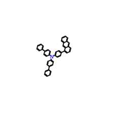 c1ccc(-c2ccc(N(c3ccc(-c4ccccc4)cc3)c3ccc(-c4cccc5cc6ccccc6cc45)cc3)cc2)cc1